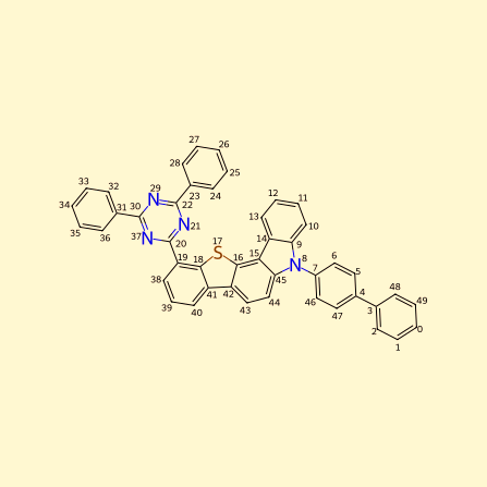 c1ccc(-c2ccc(-n3c4ccccc4c4c5sc6c(-c7nc(-c8ccccc8)nc(-c8ccccc8)n7)cccc6c5ccc43)cc2)cc1